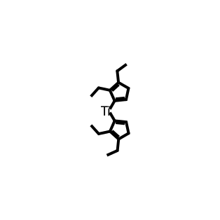 CCC1=C(CC)[C]([Ti][C]2=CCC(CC)=C2CC)=CC1